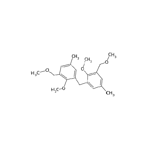 COCc1cc(C)cc(Cc2cc(C)cc(COC)c2OC)c1OC